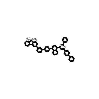 CC1(C)c2ccccc2-c2cc(-c3cccc(-c4ccc(-c5ccc(-c6cc(-c7ccc(-c8ccccc8)cc7)nc(-c7ccccc7)n6)c6ccccc56)cc4)c3)ccc21